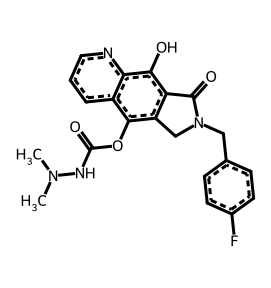 CN(C)NC(=O)Oc1c2c(c(O)c3ncccc13)C(=O)N(Cc1ccc(F)cc1)C2